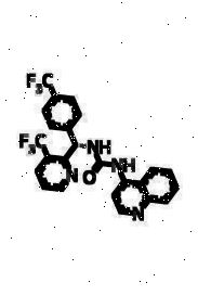 O=C(Nc1ccnc2ccccc12)N[C@@H](c1ccc(C(F)(F)F)cc1)c1ncccc1C(F)(F)F